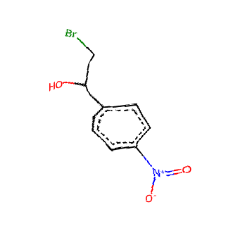 O=[N+]([O-])c1ccc(C(O)CBr)cc1